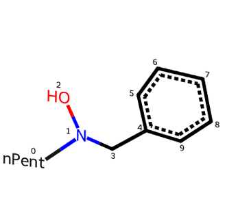 [CH2]CCCCN(O)Cc1ccccc1